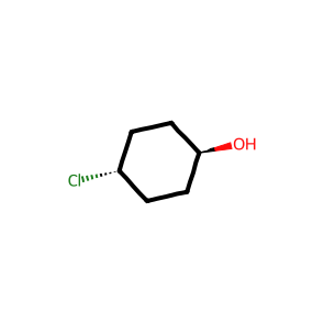 O[C@H]1CC[C@H](Cl)CC1